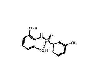 Cc1cccc(S(=O)(=O)Nc2c(C(=O)O)cccc2C(=O)O)c1